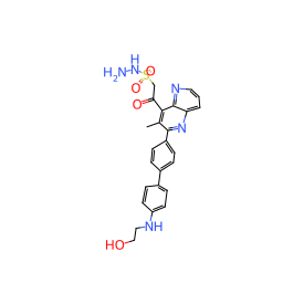 Cc1c(-c2ccc(-c3ccc(NCCO)cc3)cc2)nc2cccnc2c1C(=O)CS(=O)(=O)NN